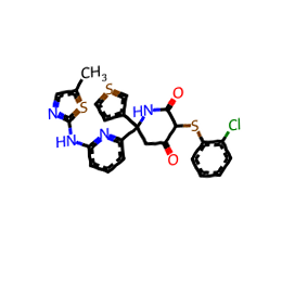 Cc1cnc(Nc2cccc(C3(c4ccsc4)CC(=O)C(Sc4ccccc4Cl)C(=O)N3)n2)s1